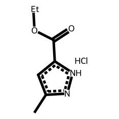 CCOC(=O)c1cc(C)n[nH]1.Cl